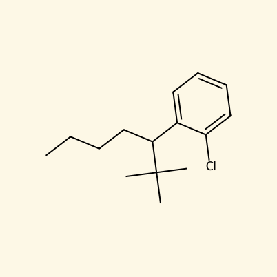 CCCCC(c1ccccc1Cl)C(C)(C)C